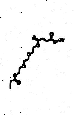 CC(C)OC(=O)CCC(=O)OCCOCCOCCOC(=O)CI